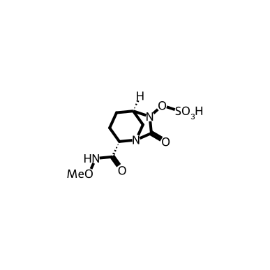 CONC(=O)[C@@H]1CC[C@@H]2CN1C(=O)N2OS(=O)(=O)O